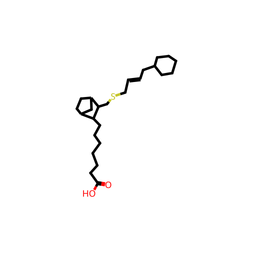 O=C(O)CCCCCCC1C2CCC(C2)C1CSCC=CCC1CCCCC1